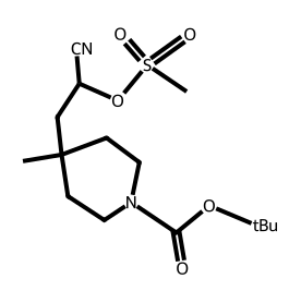 CC1(CC(C#N)OS(C)(=O)=O)CCN(C(=O)OC(C)(C)C)CC1